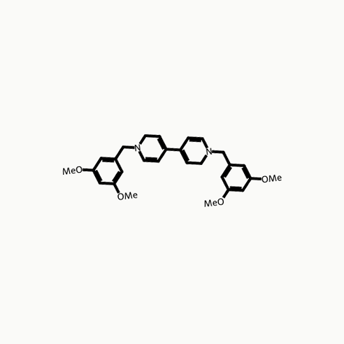 COc1cc(CN2C=CC(C3=CCN(Cc4cc(OC)cc(OC)c4)C=C3)=CC2)cc(OC)c1